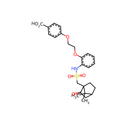 CC1(C)C2CCC1(CS(=O)(=O)Nc1ccccc1OCCOc1ccc(C(=O)O)cc1)C(=O)C2